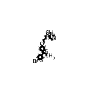 Cc1sc2cc(OCCCCN(C)c3ccncn3)ccc2c1-c1ccc(Br)cc1